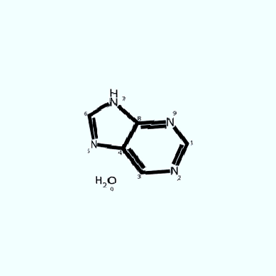 O.c1ncc2nc[nH]c2n1